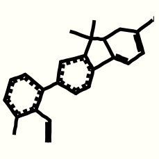 C=Cc1c(C)cccc1-c1ccc2c(c1)C(C)(C)C1CC(I)=CC=C21